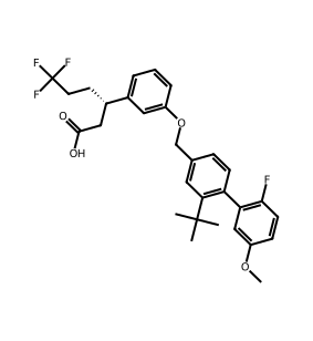 COc1ccc(F)c(-c2ccc(COc3cccc([C@@H](CCC(F)(F)F)CC(=O)O)c3)cc2C(C)(C)C)c1